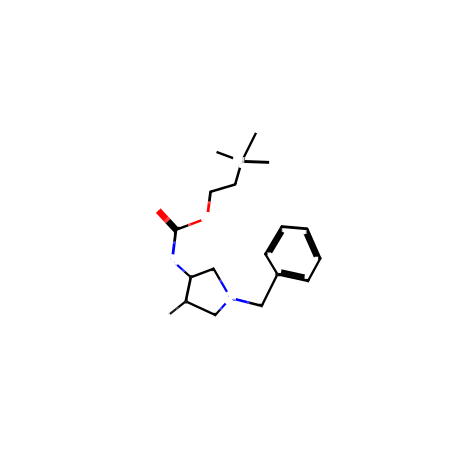 CCOC(=O)C1CN(Cc2ccccc2)CC1NC(=O)OCC[Si](C)(C)C